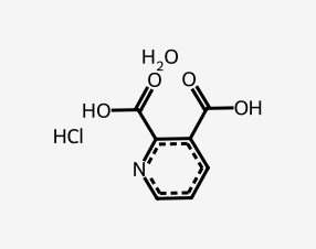 Cl.O.O=C(O)c1cccnc1C(=O)O